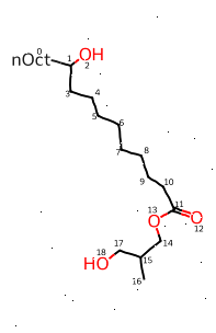 CCCCCCCCC(O)CCCCCCCCC(=O)OCC(C)CO